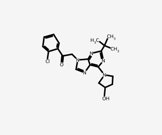 CC(C)(C)c1nc(N2CCC(O)C2)c2ncn(CC(=O)c3ccccc3Cl)c2n1